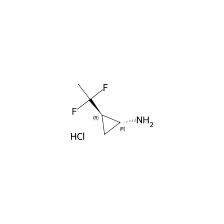 CC(F)(F)[C@@H]1C[C@H]1N.Cl